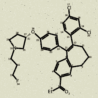 CCC(=O)c1ccc2c(c1)CCCC(c1ccc(Cl)cc1Cl)=C2c1ccc(O[C@H]2CCN(CCCF)C2)cc1